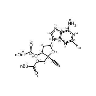 C#C[C@]1(COC(=O)CCCC)O[C@@H](n2cnc3c(N)nc(F)nc32)C[C@@H]1OC(=O)CCCCCCCC